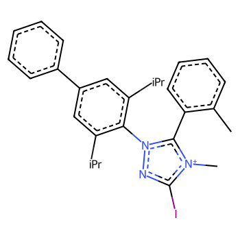 Cc1ccccc1-c1n(-c2c(C(C)C)cc(-c3ccccc3)cc2C(C)C)nc(I)[n+]1C